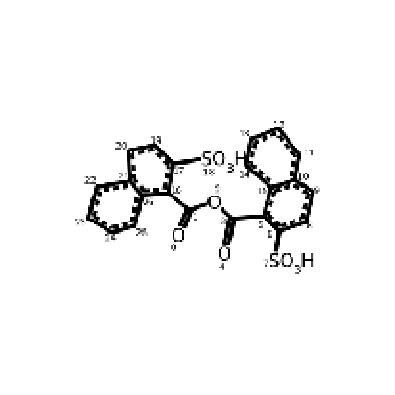 O=C(OC(=O)c1c(S(=O)(=O)O)ccc2ccccc12)c1c(S(=O)(=O)O)ccc2ccccc12